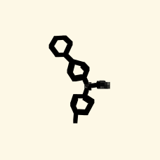 Cc1ccc(N(c2ccc(C3CCCCC3)cc2)C(C)(C)C)cc1